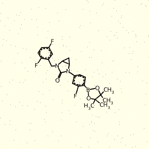 CC1(C)OB(c2ccc(N3C(=O)N(Cc4cc(F)ccc4F)C4CC43)cc2F)OC1(C)C